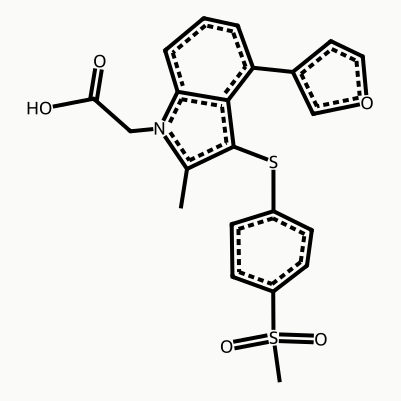 Cc1c(Sc2ccc(S(C)(=O)=O)cc2)c2c(-c3ccoc3)cccc2n1CC(=O)O